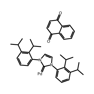 CC(C)c1cccc(-n2ccn(-c3cccc(C(C)C)c3C(C)C)[c]2=[Pd])c1C(C)C.O=C1C=CC(=O)c2ccccc21